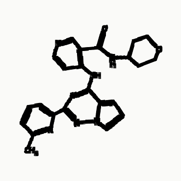 Cc1cccc(-c2nc(Nc3ccncc3C(=O)NC3CCOCC3)c3cccn3n2)n1